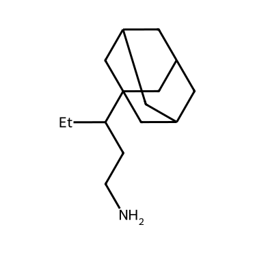 CCC(CCN)C12CC3CC(CC(C3)C1)C2